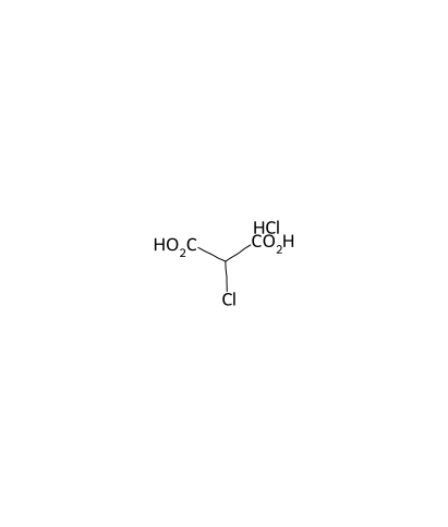 Cl.O=C(O)C(Cl)C(=O)O